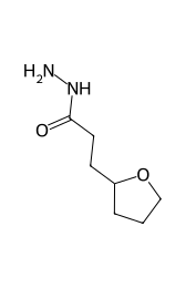 NNC(=O)CCC1CCCO1